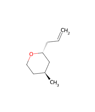 C=CC[C@@H]1C[C@@H](C)CCO1